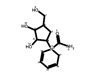 NC(=O)[N+]1(C2CC(CO)C(O)C2O)C=CC=CC1